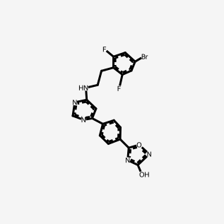 Oc1noc(-c2ccc(-c3cc(NCCc4c(F)cc(Br)cc4F)ncn3)cc2)n1